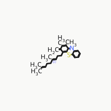 C=c1c(C)c(C)c2c(c1CC/C=C(\C)CCC=C(C)C)Sc1ccccc1N=2